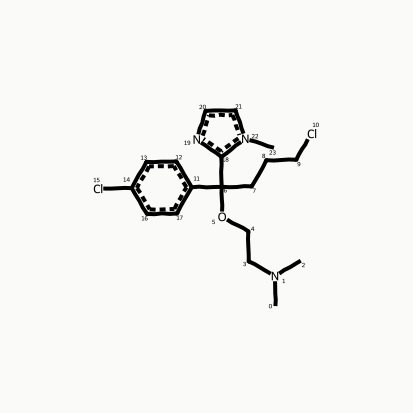 CN(C)CCOC(CCCCl)(c1ccc(Cl)cc1)c1nccn1C